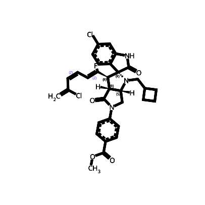 C=C(Cl)/C=C\C=C(/F)[C@@H]1[C@H]2C(=O)N(c3ccc(C(=O)OC)cc3)C[C@H]2N(CC2CCC2)[C@]12C(=O)Nc1cc(Cl)ccc12